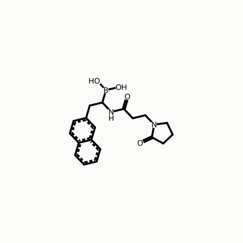 O=C(CCN1CCCC1=O)NC(Cc1ccc2ccccc2c1)B(O)O